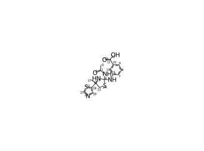 CC(=O)NC1(Nc2cccc(C(=O)O)c2)NC(C)(c2cncs2)CS1